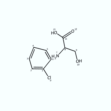 Clc1ccccc1.NC(CO)C(=O)O